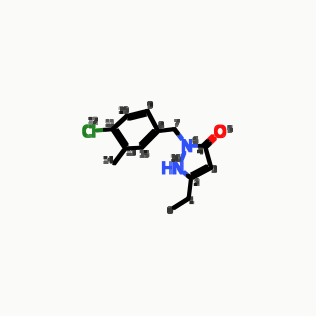 CCc1cc(=O)n(Cc2ccc(Cl)c(C)c2)[nH]1